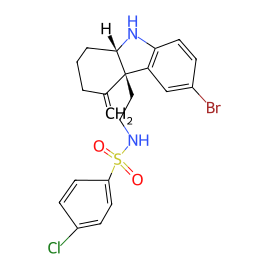 C=C1CCC[C@@H]2Nc3ccc(Br)cc3[C@]12CCNS(=O)(=O)c1ccc(Cl)cc1